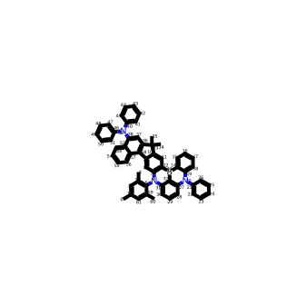 Cc1cc(C)c(N2c3cc4c(cc3B3c5ccccc5N(c5ccccc5)c5cccc2c53)C(C)(C)c2cc(N(c3ccccc3)c3ccccc3)c3ccccc3c2-4)c(C)c1